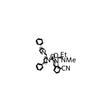 CC[C@H](NC)C(=O)N[C@@H](Cc1cccc(C#N)c1)C(=O)N1C[C@@H](c2ccccc2)C[C@H]1CN1CC[C@H](c2ccccc2)C1